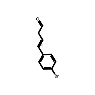 O=[C]C/C=C/c1ccc(Br)cc1